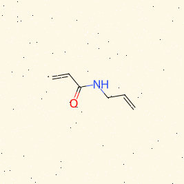 [CH]=CC(=O)NCC=C